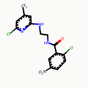 O=C(NCCNc1cc(C(F)(F)F)cc(Cl)n1)c1cc([N+](=O)[O-])ccc1Cl